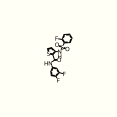 O=C(Nc1ccc(F)c(F)c1)c1sccc1NS(=O)(=O)c1ccccc1F